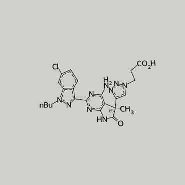 CCCCn1nc(-c2nc(N)c3c(n2)NC(=O)[C@]3(C)c2cn(CCC(=O)O)nn2)c2ccc(Cl)cc21